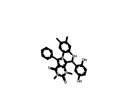 Cc1cc2c(cc1C)-n1c(-c3ccccc3)c3c(=O)n(C)c(=O)n(C)c3c1C(c1cc(O)ccc1O)N2